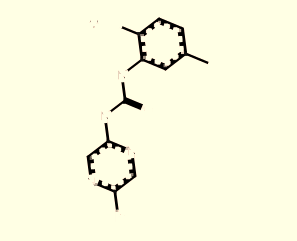 COc1ccc(C)cc1NC(=O)Nc1cnc(Br)cn1